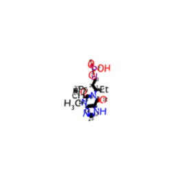 CCC(CCO[PH](=O)O)n1c(=O)c2[nH]cnc2n(C)c1=O.CCCC